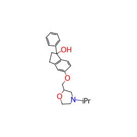 CC(C)N1CCOC(COc2ccc3c(c2)CCC3(O)c2ccccc2)C1